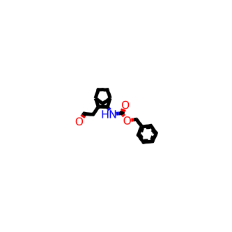 O=CCC1C2CCC(C2)C1NC(=O)OCc1ccccc1